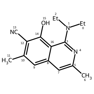 CCN(CC)c1nc(C)cc2cc(C)c(C#N)c(O)c12